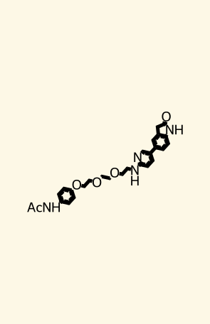 CC(=O)Nc1ccc(OCCOCCOCCNc2ccc(-c3ccc4c(c3)CC(=O)N4)cn2)cc1